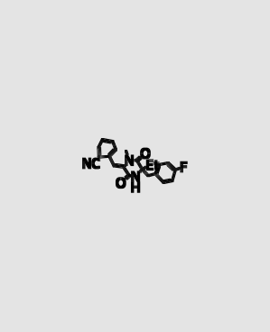 CCC1(Cc2ccc(F)cc2)NC(=O)C(=Cc2ccccc2C#N)N(C)C1=O